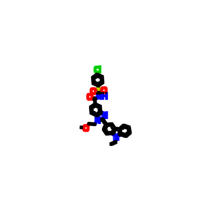 CCn1c2ccccc2c2cc(-c3nc4cc(C(=O)NS(=O)(=O)c5ccc(Cl)cc5)ccc4n3CCOC)ccc21